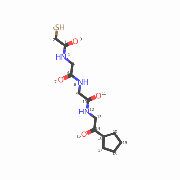 O=C(CS)NCC(=O)NCC(=O)NCC(=O)C1CCCC1